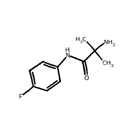 CC(C)(N)C(=O)Nc1ccc(F)cc1